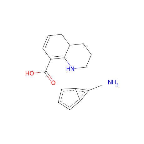 Cc1c2cccc1-2.N.O=C(O)C1=C2NCCCC2CC=C1